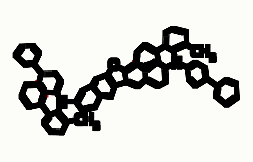 Cc1cccc(-c2ccccc2)c1N(c1ccc(-c2ccccc2)cc1)c1ccc2cc3c(cc2c1)oc1cc2cc(N(c4ccc(-c5ccccc5)cc4)c4c(C)cccc4-c4ccccc4)ccc2cc13